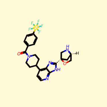 O=C(c1ccc(S(F)(F)(F)(F)F)cc1)N1CCC(c2ccnc3[nH]c([C@@]45CN[C@@H](CO4)C5)nc23)CC1